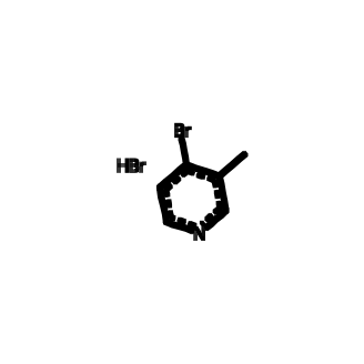 Br.Cc1cnccc1Br